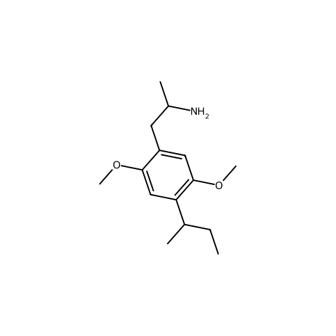 CCC(C)c1cc(OC)c(CC(C)N)cc1OC